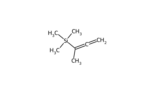 C=C=C(C)[Si](C)(C)C